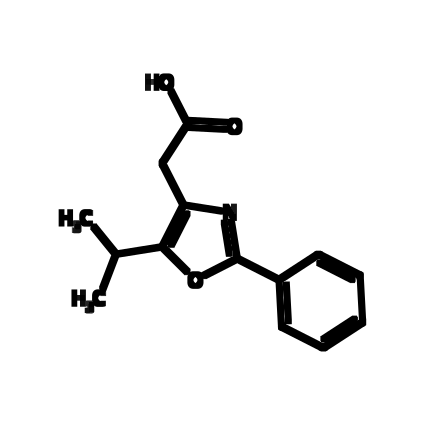 CC(C)c1oc(-c2ccccc2)nc1CC(=O)O